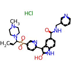 C=CC(N1CCN(C)CC1)S(=O)(=O)c1ccc(-c2c(O)[nH]c3ccc(C(=O)NCc4cccnc4)cc23)nc1.Cl